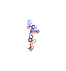 Cc1ncoc1COc1ccc2c(c1Cl)CCN(C[C@@H](O)Cc1c(C(N)=O)ccnc1NC1CCC1)C2